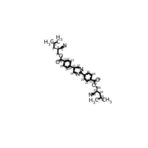 CC(C)C[C@@H](C#N)COC(=O)c1ccc(-c2cnc(-c3ccc(C(=O)OC[C@H](C#N)CC(C)C)cc3)nc2)cc1